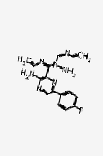 C=C/N=C\N(N)/C(=N/C=C)c1nc(-c2ccc(F)cc2)cnc1N